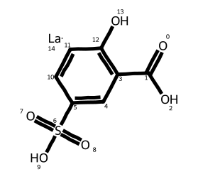 O=C(O)c1cc(S(=O)(=O)O)ccc1O.[La]